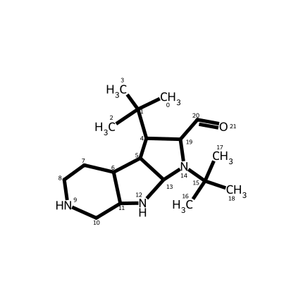 CC(C)(C)C1C2C3CCNCC3NC2N(C(C)(C)C)C1C=O